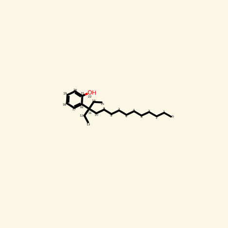 CCCCCCCCCCCC(CC)(CC)c1ccccc1O